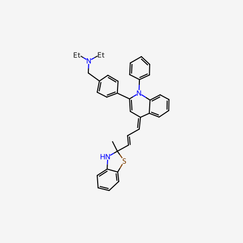 CCN(CC)Cc1ccc(C2=CC(=CC=CC3(C)Nc4ccccc4S3)c3ccccc3N2c2ccccc2)cc1